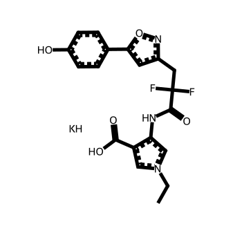 CCn1cc(NC(=O)C(F)(F)Cc2cc(-c3ccc(O)cc3)on2)c(C(=O)O)c1.[KH]